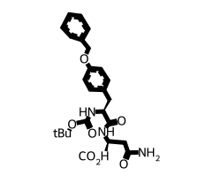 CC(C)(C)OC(=O)N[C@@H](Cc1ccc(OCc2ccccc2)cc1)C(=O)N[C@@H](CC(N)=O)C(=O)O